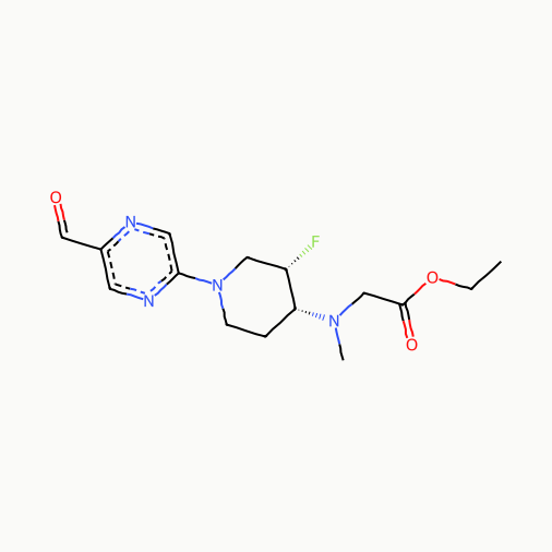 CCOC(=O)CN(C)[C@@H]1CCN(c2cnc(C=O)cn2)C[C@@H]1F